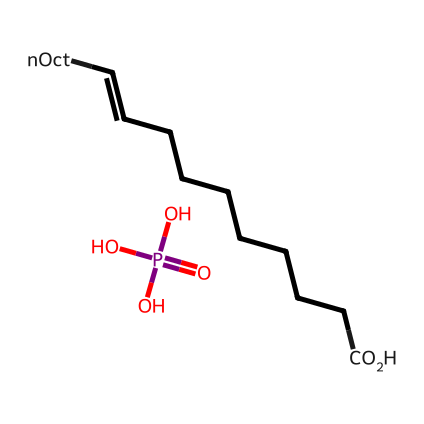 CCCCCCCCC=CCCCCCCCC(=O)O.O=P(O)(O)O